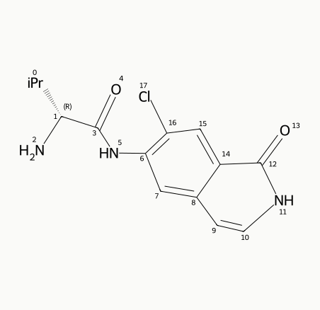 CC(C)[C@@H](N)C(=O)Nc1cc2cc[nH]c(=O)c2cc1Cl